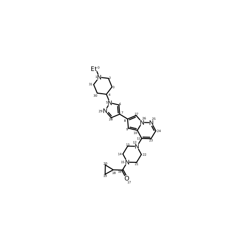 CCN1CCC(n2cc(-c3cc4c(N5CCN(C(=O)C6CC6)CC5)ccnn4c3)cn2)CC1